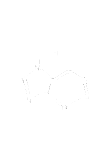 [H+].[c]1nc2ncncc2[nH]1